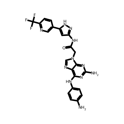 Nc1ccc(Nc2nc(N)nc3c2ncn3CC(=O)Nc2cc(-c3ccc(C(F)(F)F)nc3)[nH]n2)cc1